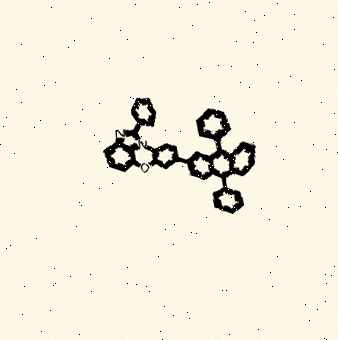 c1ccc(-c2c3ccccc3c(-c3ccccc3)c3cc(-c4ccc5c(c4)Oc4cccc6nc(-c7ccccc7)n-5c46)ccc23)cc1